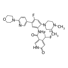 C[C@H]1CN(c2cc(F)c(-c3ccc(N4CCOCC4)nc3)cc2NC(=O)c2c[nH]c(=O)cc2C(F)F)CCN1C